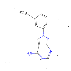 C#Cc1cccc(-n2cc3c(N)ncnc3n2)c1